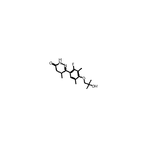 Cc1cc(C2=NNC(=O)CC2C)c(F)c(C)c1OCC(C)(C)O